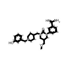 COCC1CN(CC2CCN(Cc3cccc(O)c3)CC2)C(=O)N(c2cccc(C(=N)N)c2)C1